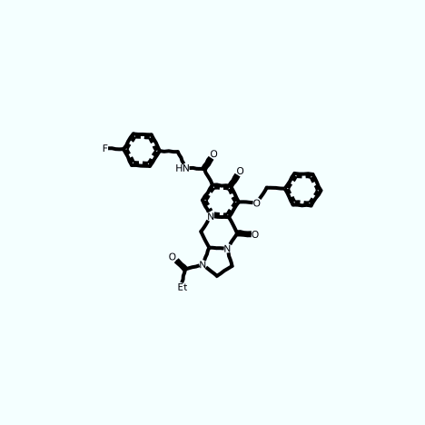 CCC(=O)N1CCN2C(=O)c3c(OCc4ccccc4)c(=O)c(C(=O)NCc4ccc(F)cc4)cn3CC12